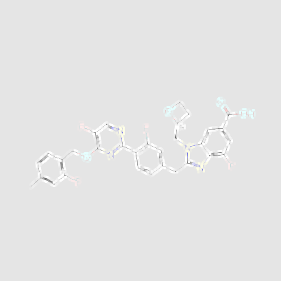 Cc1ccc(COc2nc(-c3ccc(Cc4nc5c(F)cc(C(=O)O)cc5n4C[C@@H]4CCO4)cc3F)ncc2F)c(F)c1